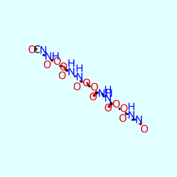 O=C=NCNC(=O)OCOC(=O)NCNC(=O)OCOC(=O)NCNC(=O)OCOC(=O)NCN=C=O